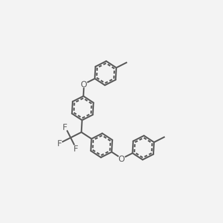 Cc1ccc(Oc2ccc(C(c3ccc(Oc4ccc(C)cc4)cc3)C(F)(F)F)cc2)cc1